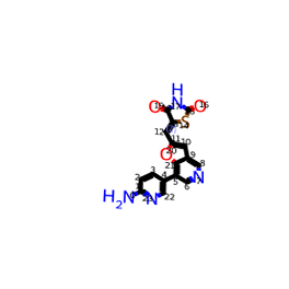 Nc1ccc(-c2cncc3cc(/C=C4\SC(=O)NC4=O)oc23)cn1